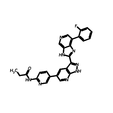 CCC(=O)Nc1ccc(-c2cnc3[nH]nc(-c4nc5c(-c6ccccc6F)cncc5[nH]4)c3c2)cn1